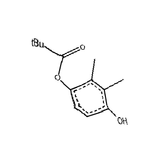 Cc1c(O)ccc(OC(=O)C(C)(C)C)c1C